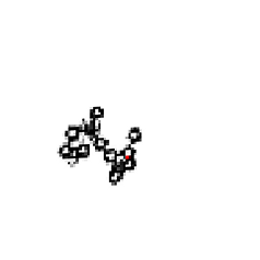 c1ccc(-c2cccc(-c3cc(-c4ccc(-c5nc(-c6ccccc6)nc(-c6cccc(-c7cccc8oc9ccccc9c78)c6)n5)cc4)ccc3-n3c4ccccc4c4ccccc43)c2)cc1